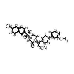 Cc1cc(N2CCC(N(CC#N)N3CCN(S(=O)(=O)c4ccc5cc(Cl)ccc5c4)CC3=O)CC2)ccn1